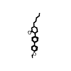 CCCCCC1CCC(c2ccc(-c3ccc(OCC)cc3)cc2)C(=O)C1